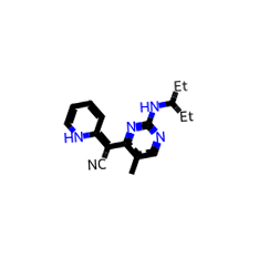 CCC(CC)Nc1ncc(C)c(/C(C#N)=C2\C=CC=CN2)n1